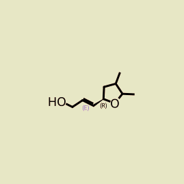 CC1C[C@H](/C=C/CO)OC1C